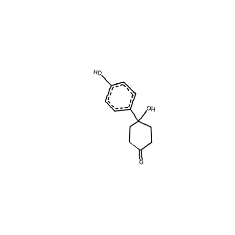 O=C1CCC(O)(c2ccc(O)cc2)CC1